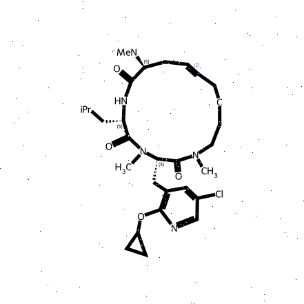 CN[C@H]1C/C=C\CCCCN(C)C(=O)[C@H](Cc2cc(Cl)cnc2OC2CC2)N(C)C(=O)[C@H](CC(C)C)NC1=O